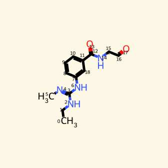 CCNC(=NC)Nc1cccc(C(=O)N[CH]C=O)c1